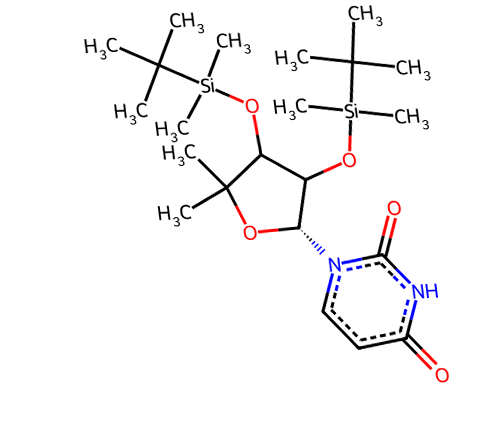 CC1(C)O[C@@H](n2ccc(=O)[nH]c2=O)C(O[Si](C)(C)C(C)(C)C)C1O[Si](C)(C)C(C)(C)C